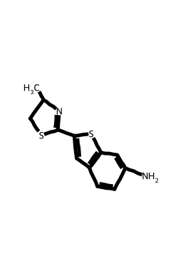 CC1CSC(c2cc3ccc(N)cc3s2)=N1